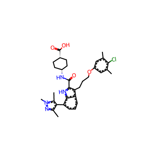 Cc1cc(OCCCc2c(C(=O)N[C@H]3CC[C@@H](C(=O)O)CC3)[nH]c3c(-c4c(C)nn(C)c4C)cccc23)cc(C)c1Cl